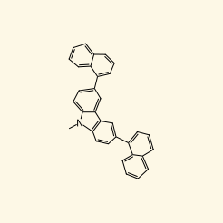 Cn1c2ccc(-c3cccc4ccccc34)cc2c2cc(-c3cccc4ccccc34)ccc21